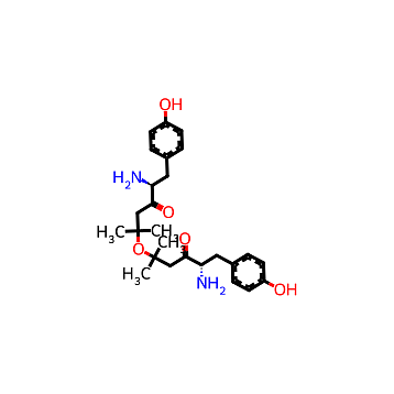 CC(C)(CC(=O)[C@@H](N)Cc1ccc(O)cc1)OC(C)(C)CC(=O)[C@@H](N)Cc1ccc(O)cc1